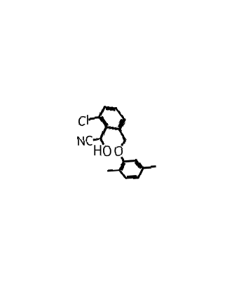 Cc1ccc(C)c(OCc2cccc(Cl)c2[C@@H](O)C#N)c1